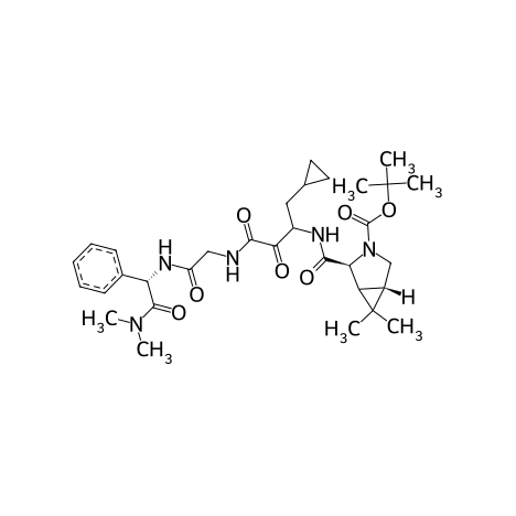 CN(C)C(=O)[C@@H](NC(=O)CNC(=O)C(=O)C(CC1CC1)NC(=O)[C@@H]1C2[C@H](CN1C(=O)OC(C)(C)C)C2(C)C)c1ccccc1